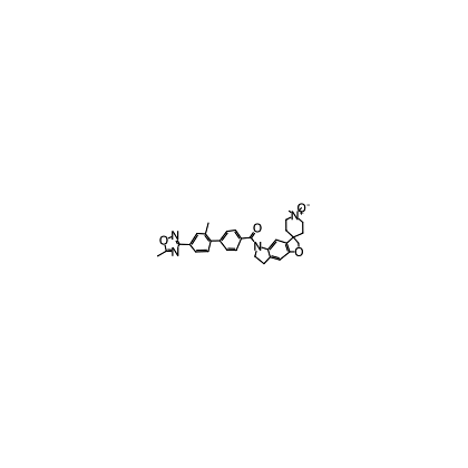 Cc1nc(-c2ccc(-c3ccc(C(=O)N4CCc5cc6c(cc54)C4(CC[N+](C)([O-])CC4)CO6)cc3)c(C)c2)no1